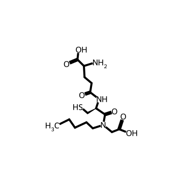 CCCCCN(CC(=O)O)C(=O)[C@@H](CS)NC(=O)CCC(N)C(=O)O